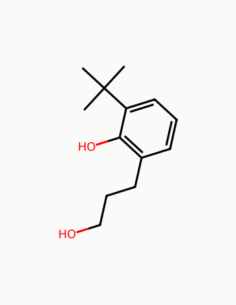 CC(C)(C)c1cccc(CCCO)c1O